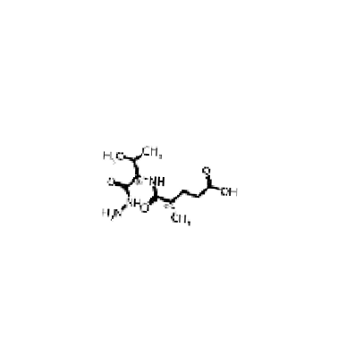 CC(C)[C@H](NC(=O)[C@@H](C)CCC(=O)O)C(=O)NN